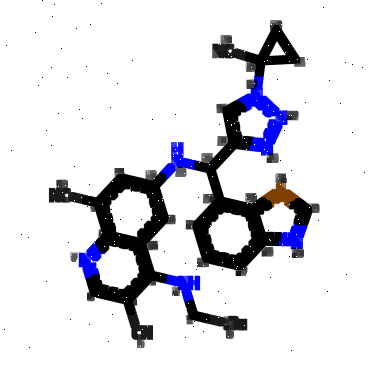 CC(C)(C)CNc1c(C#N)cnc2c(C#N)cc(NC(c3cn(C4(C#N)CC4)nn3)c3cccc4ncsc34)cc12